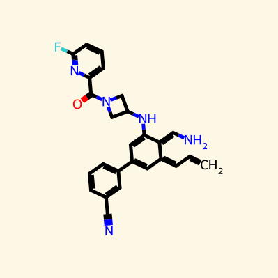 C=C/C=c1/cc(-c2cccc(C#N)c2)cc(NC2CN(C(=O)c3cccc(F)n3)C2)/c1=C/N